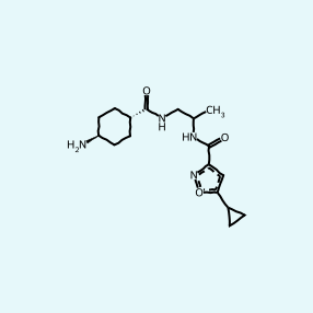 CC(CNC(=O)[C@H]1CC[C@H](N)CC1)NC(=O)c1cc(C2CC2)on1